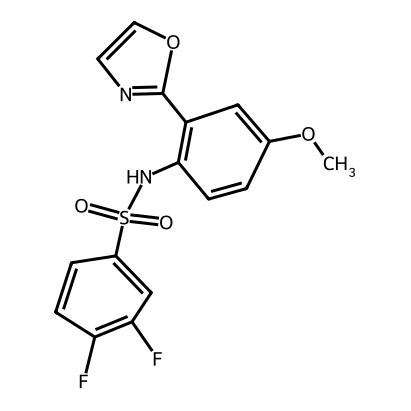 COc1ccc(NS(=O)(=O)c2ccc(F)c(F)c2)c(-c2ncco2)c1